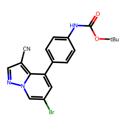 CC(C)(C)OC(=O)Nc1ccc(-c2cc(Br)cn3ncc(C#N)c23)cc1